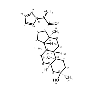 C[C@@H](C(=O)[C@H]1CC[C@H]2[C@@H]3CC[C@@H]4C[C@](C)(O)CC[C@]4(C)[C@H]3CC[C@]12C)n1ccnn1